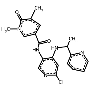 Cc1cc(C(=O)Nc2cnc(Cl)cc2NC(C)c2ccccn2)cn(C)c1=O